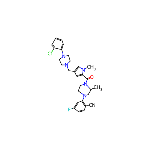 C[C@H]1CN(c2cc(F)ccc2C#N)CCN1C(=O)c1cc(CN2CCN(c3ccccc3Cl)CC2)cn1C